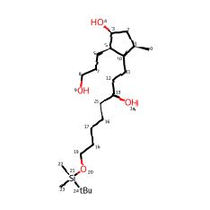 C[C@@H]1C[C@H](O)[C@H](CCCO)C1CCC(O)CCCCCO[Si](C)(C)C(C)(C)C